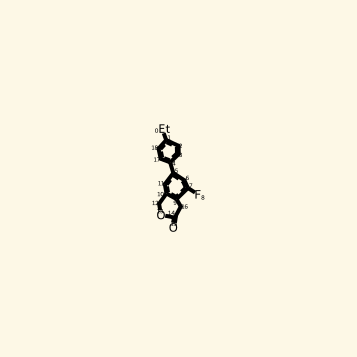 CCc1ccc(-c2cc(F)c3c(c2)COC(=O)C3)cc1